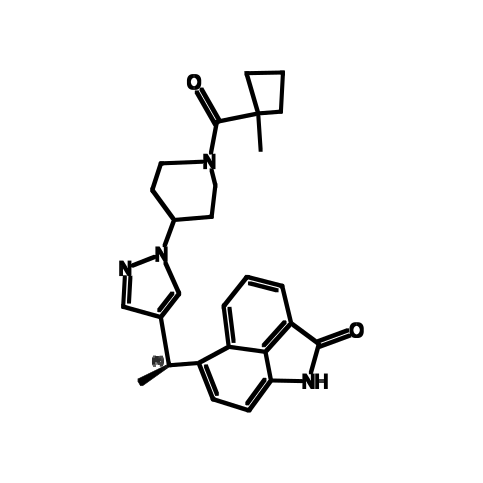 C[C@@H](c1cnn(C2CCN(C(=O)C3(C)CCC3)CC2)c1)c1ccc2c3c(cccc13)C(=O)N2